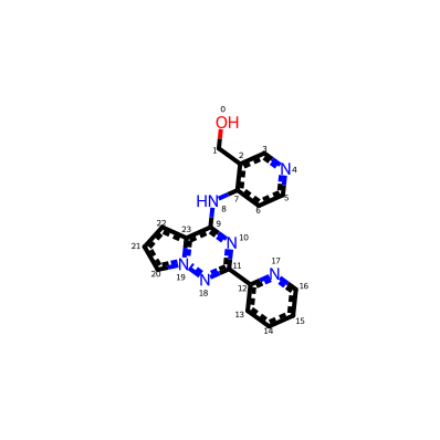 OCc1cnccc1Nc1nc(-c2ccccn2)nn2cccc12